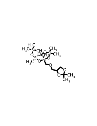 CC1(C)OCC(COC[Si](C)(O[Si](C)(C)C)O[Si](C)(C)O[Si](C)(C)C)O1